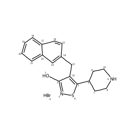 Br.Oc1nsc(C2CCNCC2)c1Cc1ccc2ccccc2c1